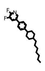 CCCCCCCC1CCC(c2ccc(-c3cnc(F)c(F)c3)cc2)CC1